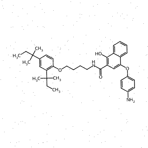 CCC(C)(C)c1ccc(OCCCCNC(=O)c2cc(Oc3ccc(N)cc3)c3ccccc3c2O)c(C(C)(C)CC)c1